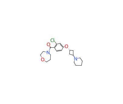 O=C(c1ccc(O[C@H]2C[C@H](N3CCCCC3)C2)cc1Cl)N1CCCOCC1